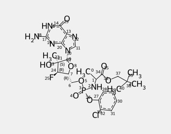 CC(NP(=O)(OC[C@H]1O[C@@H](n2cnc3c(=O)[nH]c(N)nc32)[C@](C)(O)[C@@H]1F)Oc1ccccc1Cl)C(=O)OCC(C)(C)C